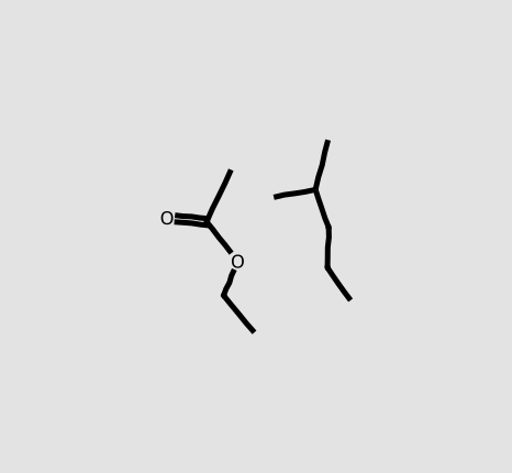 CCCC(C)C.CCOC(C)=O